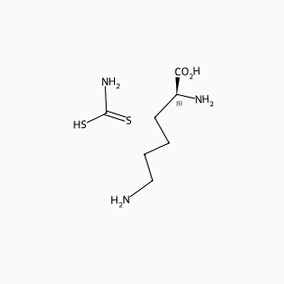 NC(=S)S.NCCCC[C@H](N)C(=O)O